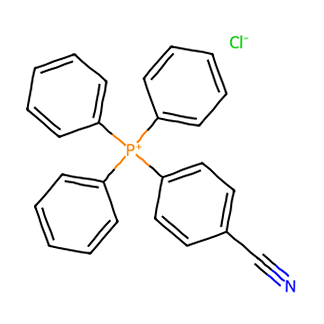 N#Cc1ccc([P+](c2ccccc2)(c2ccccc2)c2ccccc2)cc1.[Cl-]